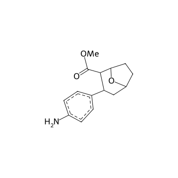 COC(=O)C1C2CCC(CC1c1ccc(N)cc1)O2